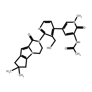 CC(=O)Nc1cc(-c2ccnc(N3CCn4c(cc5c4CC(C)(C)C5)C3=O)c2CO)cn(C)c1=O